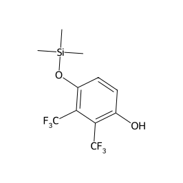 C[Si](C)(C)Oc1ccc(O)c(C(F)(F)F)c1C(F)(F)F